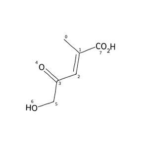 CC(=CC(=O)CO)C(=O)O